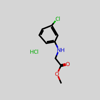 COC(=O)CNc1cccc(Cl)c1.Cl